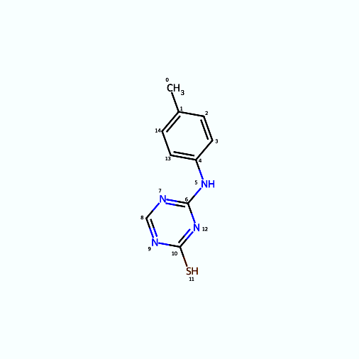 Cc1ccc(Nc2ncnc(S)n2)cc1